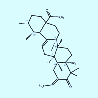 C[C@@H]1CCC2(C(=O)O)CC[C@]3(C)C(=CC[C@@H]4[C@@]5(C)CC(=CO)C(=O)C(C)(C)[C@@H]5CC[C@]43C)C2[C@H]1C